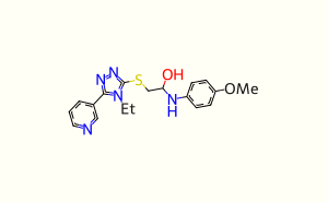 CCn1c(SCC(O)Nc2ccc(OC)cc2)nnc1-c1cccnc1